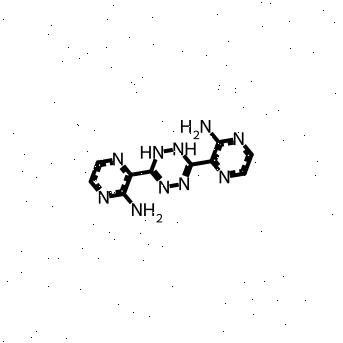 Nc1nccnc1C1=NN=C(c2nccnc2N)NN1